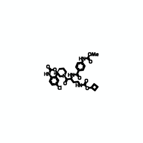 COC(=O)Nc1ccc(C(=O)NC(CCNC(=O)OC2CCC2)C(=O)N2CCC[C@@]3(C2)OC(=O)Nc2ccc(Cl)cc23)cc1